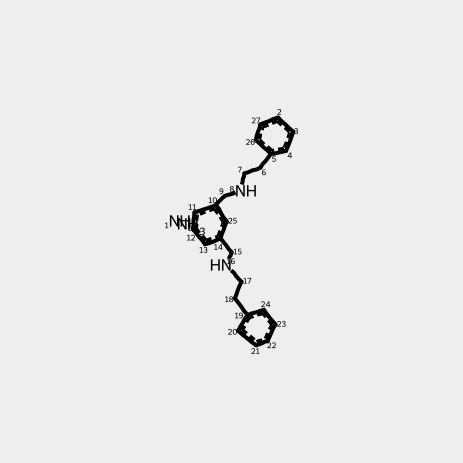 N.N.c1ccc(CCNCc2cccc(CNCCc3ccccc3)c2)cc1